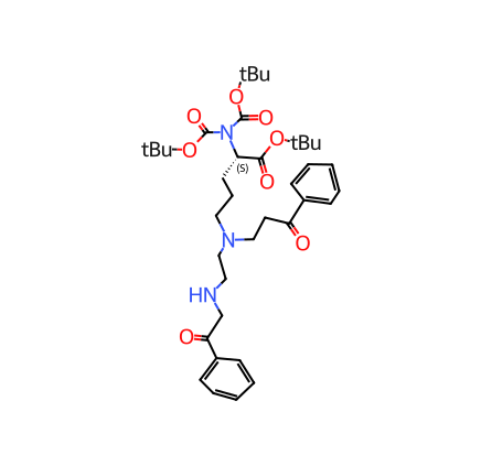 CC(C)(C)OC(=O)[C@H](CCCN(CCNCC(=O)c1ccccc1)CCC(=O)c1ccccc1)N(C(=O)OC(C)(C)C)C(=O)OC(C)(C)C